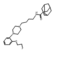 O=C(NCCCCN1CCN(c2ccccc2OCCF)CC1)C12CC3CC(CC(C3)C1)C2